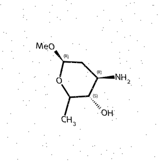 CO[C@H]1C[C@@H](N)[C@H](O)C(C)O1